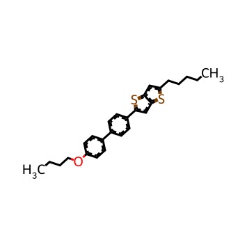 CCCCCc1cc2sc(-c3ccc(-c4ccc(OCCCC)cc4)cc3)cc2s1